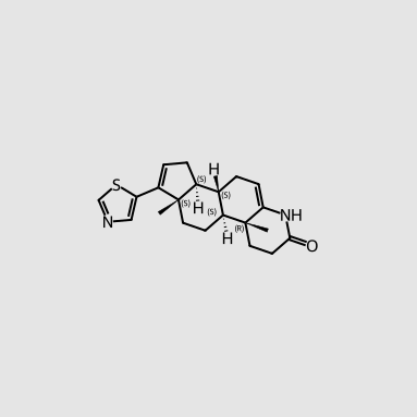 C[C@]12CCC(=O)NC1=CC[C@@H]1[C@@H]2CC[C@]2(C)C(c3cncs3)=CC[C@@H]12